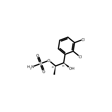 C[C@@H](OS(N)(=O)=O)[C@H](O)c1cccc(Cl)c1Cl